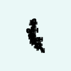 N#Cc1ccc(-c2cnn(-c3ccc(C(=O)NCCC4CCOC4)cn3)c2O)cc1